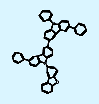 c1ccc(-c2ccc3c(c2)c2cc(-c4ccc5c(c4)c4cc(-c6ccccc6)ccc4n5-c4ccc5oc6ccccc6c5c4)ccc2n3-c2ccccc2)cc1